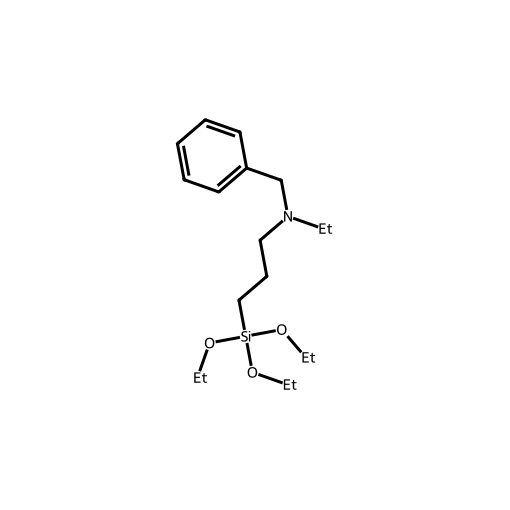 CCO[Si](CCCN(CC)Cc1ccccc1)(OCC)OCC